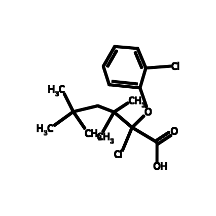 CC(C)(C)CC(C)(C)C(Cl)(Oc1ccccc1Cl)C(=O)O